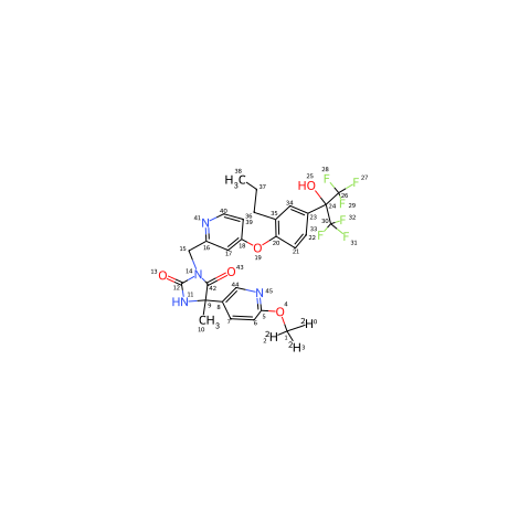 [2H]C([2H])([2H])Oc1ccc(C2(C)NC(=O)N(Cc3cc(Oc4ccc(C(O)(C(F)(F)F)C(F)(F)F)cc4CCC)ccn3)C2=O)cn1